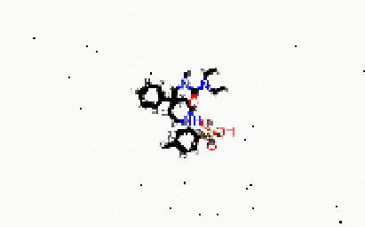 CCN(CC)C(=O)N(C)CC1(c2ccccc2)CCNCC1.Cc1ccc(S(=O)(=O)O)cc1